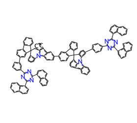 c1cc(-c2ccc3c(c2)C2(c4ccccc4-3)c3ccccc3-n3c4ccc(-c5ccc6c(c5)-c5ccccc5C65c6ccc(-c7ccc(-c8nc(-c9cccc%10ccccc9%10)nc(-c9cccc%10ccccc9%10)n8)cc7)cc6-n6c7ccccc7c7cccc5c76)cc4c4cccc2c43)cc(-c2nc(-c3cccc4ccccc34)nc(-c3cccc4ccccc34)n2)c1